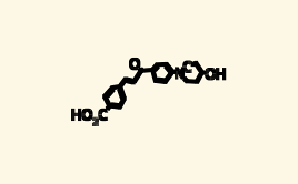 O=C(O)c1ccc(C=CC(=O)c2ccc(N3CCC(O)CC3)cc2)cc1